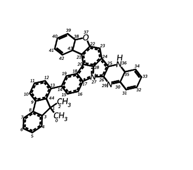 CC1(C)c2ccccc2-c2cccc(-c3ccc4c(c3)c3c5c(cc6c7c(n4c63)N=C3C=CC=CC3N7)OC3C=CC=CC53)c21